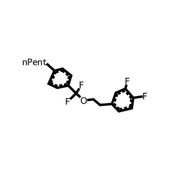 CCCCCc1ccc(C(F)(F)OCCc2ccc(F)c(F)c2)cc1